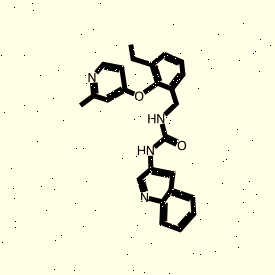 CCc1cccc(CNC(=O)Nc2cnc3ccccc3c2)c1Oc1ccnc(C)c1